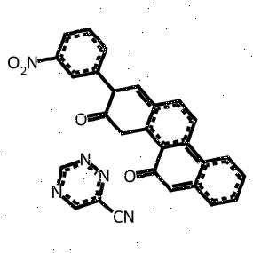 N#Cc1cncnn1.O=C1C=c2ccccc2=c2ccc3c(c21)CC(=O)C(c1cccc([N+](=O)[O-])c1)C=3